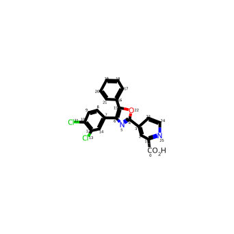 O=C(O)c1cc(-c2nc(-c3ccc(Cl)c(Cl)c3)c(-c3ccccc3)o2)ccn1